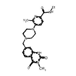 CCNC(=O)c1ccc(N2CCN(Cc3ccc4c(=O)n(C)c(=O)[nH]c4c3)CC2)c(C)n1